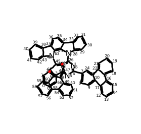 c1ccc(-c2nc(-c3ccc4c5ccccc5c5ccccc5c4c3)nc(-n3c4ccccc4c4ccc5c6ccccc6n(-c6ccc7c8ccccc8c8ccccc8c7c6)c5c43)n2)cc1